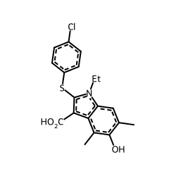 CCn1c(Sc2ccc(Cl)cc2)c(C(=O)O)c2c(C)c(O)c(C)cc21